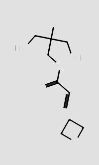 C1COC1.C=CC(=O)OCC(CC)(CO)CO